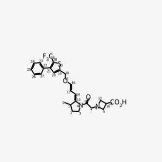 CC1CCN(C(=O)CN2CC(C(=O)O)C2)/C1=C/C=C/OCc1cc(-c2ccccc2)c(C(F)(F)F)s1